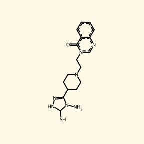 NN1C(C2CCN(CCn3cnc4ccccc4c3=O)CC2)=NNC1S